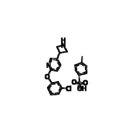 Cc1ccc(S(=O)(=O)O)cc1.Clc1cccc(Oc2ccc(C3CNC3)cn2)c1